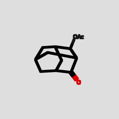 CC(=O)OC1C2CC3CC(C2)C(=O)C1C3